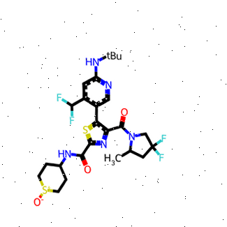 CC1CC(F)(F)CN1C(=O)c1nc(C(=O)NC2CC[S+]([O-])CC2)sc1-c1cnc(NC(C)(C)C)cc1C(F)F